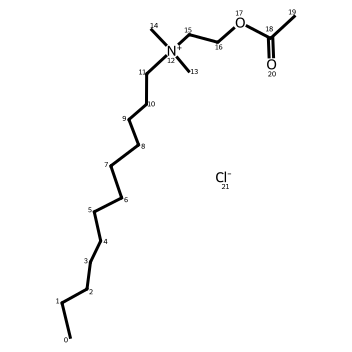 CCCCCCCCCCCC[N+](C)(C)CCOC(C)=O.[Cl-]